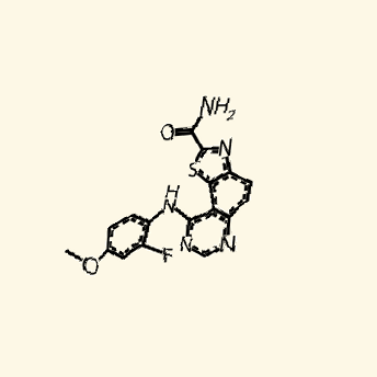 COc1ccc(Nc2ncnc3ccc4nc(C(N)=O)sc4c23)c(F)c1